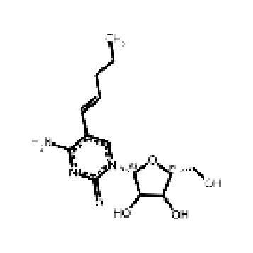 CCCC=Cc1cn([C@@H]2O[C@H](CO)C(O)C2O)c(=O)nc1N